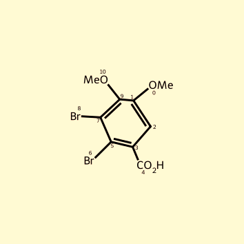 COc1cc(C(=O)O)c(Br)c(Br)c1OC